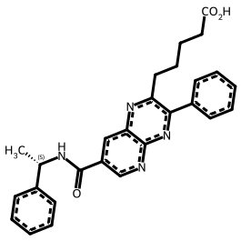 C[C@H](NC(=O)c1cnc2nc(-c3ccccc3)c(CCCCC(=O)O)nc2c1)c1ccccc1